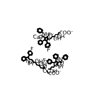 CC(C)c1c(C(=O)Nc2ccccc2)c(-c2ccccc2)c(-c2ccc(F)cc2)n1CC[C@@H](O)C[C@@H](O)CC(=O)[O-].CC(C)c1c(C(=O)Nc2ccccc2)c(-c2ccccc2)c(-c2ccc(F)cc2)n1CC[C@@H](O)C[C@H](CC(=O)[O-])OC(=O)C[C@@H](O)C[C@@H](O)/C=C/c1c(-c2ccc(F)cc2)c2ccccc2n1C(C)C.[Ca+2]